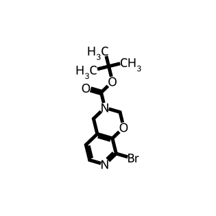 CC(C)(C)OC(=O)N1COc2c(ccnc2Br)C1